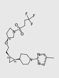 Cc1cnc(N2CCC([C@H]3C[C@H]3CCO[C@H]3CCN(S(=O)(=O)CCC(F)(F)F)C3)CC2)nc1